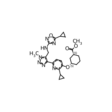 COC(=O)[C@H]1CCC[C@H](Oc2ccc(-c3nnn(C)c3CNc3noc(C4CC4)n3)nc2C2CC2)C1